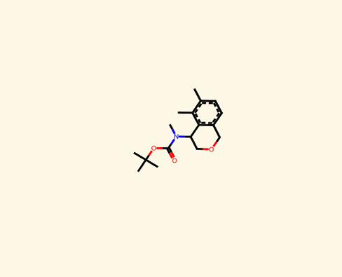 Cc1ccc2c(c1C)C(N(C)C(=O)OC(C)(C)C)COC2